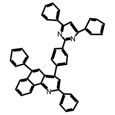 c1ccc(-c2cc(-c3ccccc3)nc(-c3ccc(-c4cc(-c5ccccc5)nc5c4cc(-c4ccccc4)c4ccccc45)cc3)n2)cc1